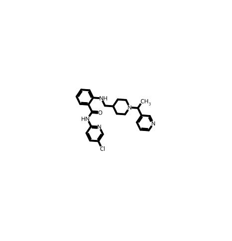 CC(c1cccnc1)N1CCC(CNc2ccccc2C(=O)Nc2ccc(Cl)cn2)CC1